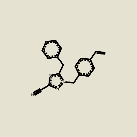 C=Cc1ccc(Cn2nc(C#N)nc2Cc2ccccc2)cc1